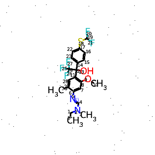 CCN(C)/C=N/c1cc(OC)c(C(O)(c2ccc(SC(F)F)cc2)C(F)(F)F)cc1C